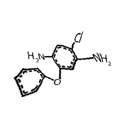 Nc1cc(Oc2ccccc2)c(N)cc1Cl